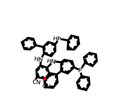 N#Cc1cc(Nc2ccc(Pc3ccccc3)cc2-c2ccccc2)c(Nc2ccc(P(c3ccccc3)c3ccccc3)cc2-c2ccccc2)cc1C#N